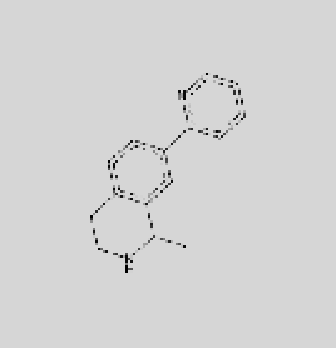 CC1NCCc2ccc(-c3ccccn3)cc21